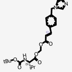 CC(C)[C@H](NC(=O)OC(C)(C)C)C(=O)OCOC(=O)/C=C/c1ccc(Cn2ccnc2)cc1